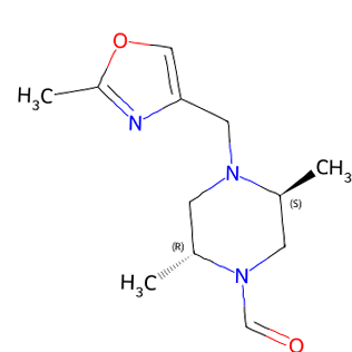 Cc1nc(CN2C[C@@H](C)N(C=O)C[C@@H]2C)co1